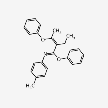 CCC(C(=Nc1ccc(C)cc1)Oc1ccccc1)=C(C)Oc1ccccc1